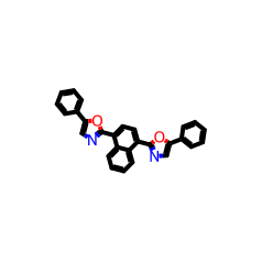 c1ccc(-c2cnc(-c3ccc(-c4ncc(-c5ccccc5)o4)c4ccccc34)o2)cc1